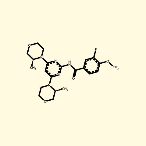 COc1ccc(C(=O)Nc2nc(N3CCOC[C@@H]3C)cc(N3CCOC[C@@H]3C)n2)cc1F